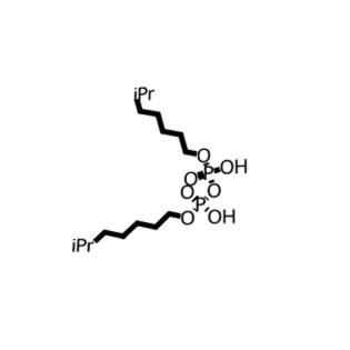 CC(C)CCCCCOP(=O)(O)OP(=O)(O)OCCCCCC(C)C